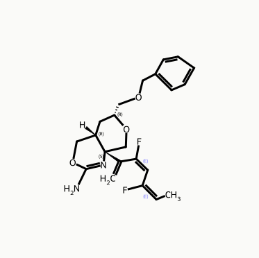 C=C(/C(F)=C\C(F)=C/C)[C@]12CO[C@@H](COCc3ccccc3)C[C@H]1COC(N)=N2